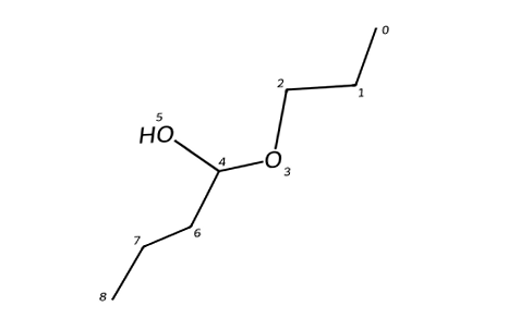 CCCOC(O)CCC